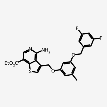 CCOC(=O)c1cnc(N)c2c(COc3cc(C)cc(OCc4cc(F)cc(F)c4)c3)csc12